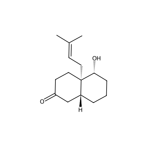 CC(C)=CC[C@@]12CCC(=O)C[C@H]1CCC[C@H]2O